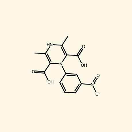 CC1=C(C(=O)O)N(c2cccc([N+](=O)[O-])c2)C(C(=O)O)=C(C)N1